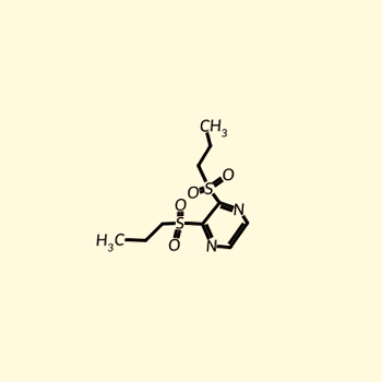 CCCS(=O)(=O)c1nccnc1S(=O)(=O)CCC